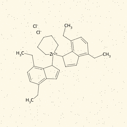 CCc1ccc(CC)c2c1C=C[CH]2[Zr+2]1([CH]2C=Cc3c(CC)ccc(CC)c32)[CH2]CCC[CH2]1.[Cl-].[Cl-]